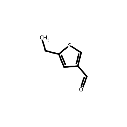 CCc1cc(C=O)cs1